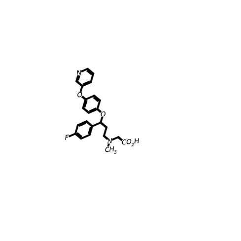 CN(CCC(Oc1ccc(Oc2cccnc2)cc1)c1ccc(F)cc1)CC(=O)O